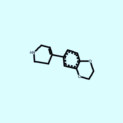 C1=C(c2ccc3c(c2)OCCO3)CCNC1